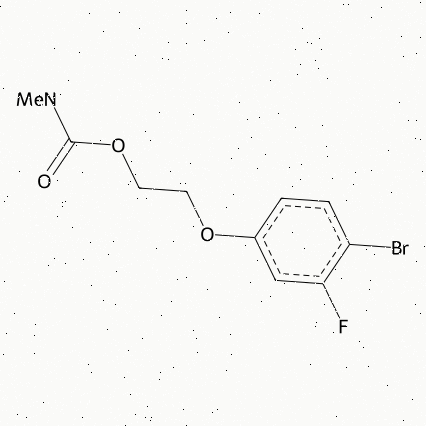 CNC(=O)OCCOc1ccc(Br)c(F)c1